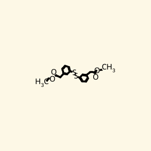 CCOC(=O)Cc1cccc(SSc2cccc(CC(=O)OCC)c2)c1